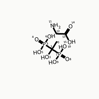 CC(O)(P(=O)(O)O)P(=O)(O)O.NCC(=O)O